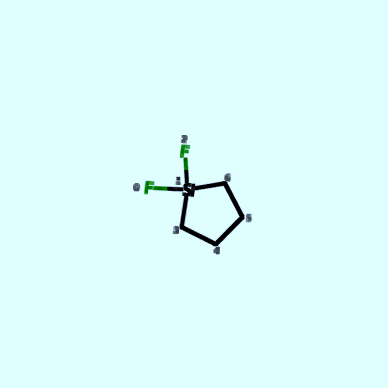 F[Si]1(F)CCCC1